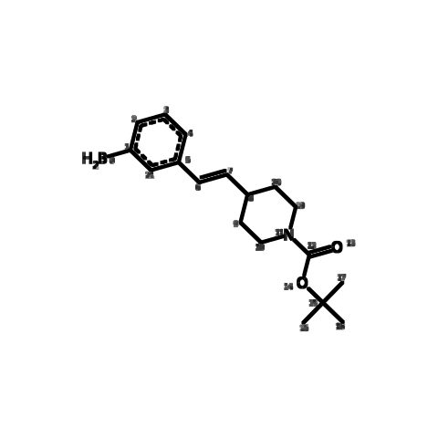 Bc1cccc(/C=C/C2CCN(C(=O)OC(C)(C)C)CC2)c1